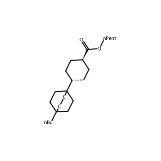 CCCCCOC(=O)[C@H]1CC[C@H](C23CCC(CCCC)(CC2)CC3)CC1